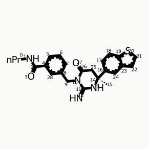 CCCNC(=O)c1cccc(CN2C(=N)N[C@](C)(c3ccc4sccc4c3)CC2=O)c1